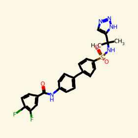 CC(C)(NS(=O)(=O)c1ccc(-c2ccc(NC(=O)c3ccc(F)c(F)c3)cc2)cc1)c1cnn[nH]1